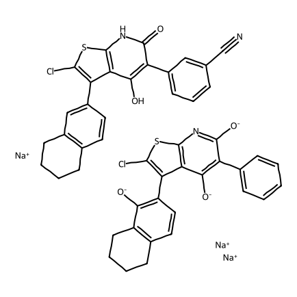 N#Cc1cccc(-c2c(O)c3c(-c4ccc5c(c4)CCCC5)c(Cl)sc3[nH]c2=O)c1.[Na+].[Na+].[Na+].[O-]c1nc2sc(Cl)c(-c3ccc4c(c3[O-])CCCC4)c2c([O-])c1-c1ccccc1